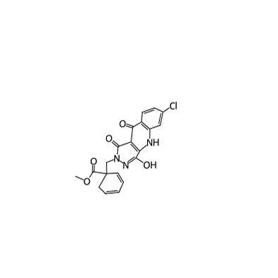 COC(=O)C1(Cn2nc(O)c3[nH]c4cc(Cl)ccc4c(=O)c3c2=O)C=CC=CC1